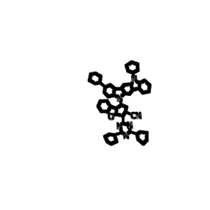 N#Cc1cc(-n2c3ccc(-c4ccccc4)cc3c3cc4c(cc32)c2ccccc2n4-c2ccccc2)c2c(oc3ccccc32)c1-c1nc(-c2ccccc2)nc(-c2ccccc2)n1